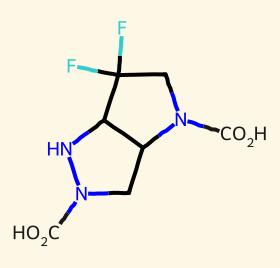 O=C(O)N1CC2C(N1)C(F)(F)CN2C(=O)O